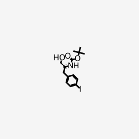 CC(C)(C)OC(=O)N[C@H](CO)Cc1ccc(I)cc1